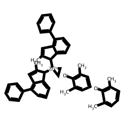 CC1=Cc2c(-c3ccccc3)cccc2[CH]1[Zr+2]1([CH]2C(C)=Cc3c(-c4ccccc4)cccc32)[CH2][CH2]1.Cc1cccc(C)c1[O-].Cc1cccc(C)c1[O-]